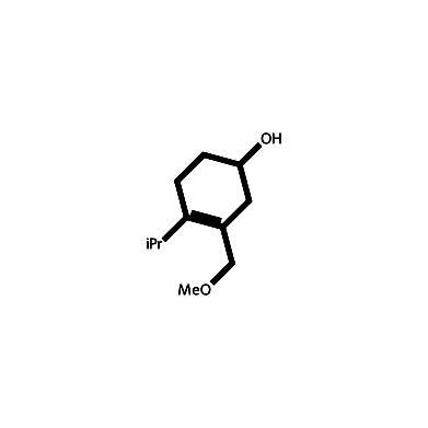 COCC1=C(C(C)C)CCC(O)C1